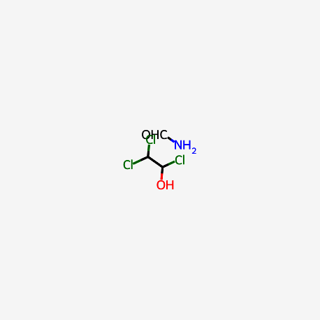 NC=O.OC(Cl)C(Cl)Cl